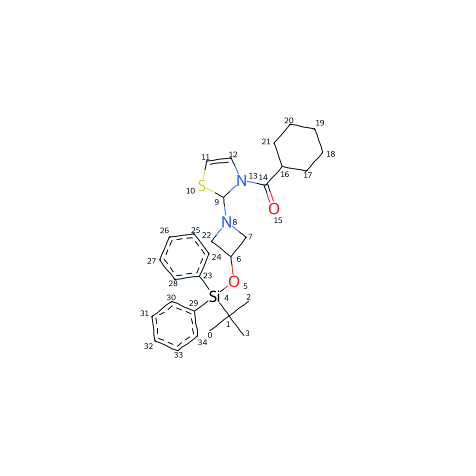 CC(C)(C)[Si](OC1CN(C2SC=CN2C(=O)C2CCCCC2)C1)(c1ccccc1)c1ccccc1